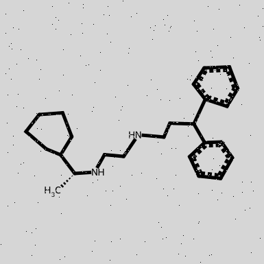 C[C@@H](NCCNCCC(c1ccccc1)c1ccccc1)C1CCCCC1